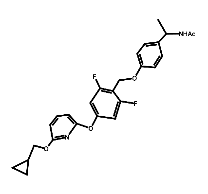 CC(=O)NC(C)c1ccc(OCc2c(F)cc(Oc3cccc(OCC4CC4)n3)cc2F)cc1